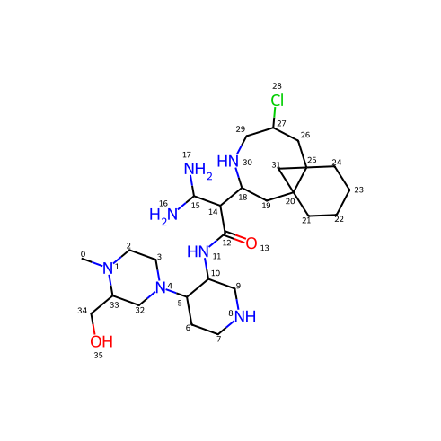 CN1CCN(C2CCNCC2NC(=O)C(C(N)N)C2CC34CCCCC3(CC(Cl)CN2)C4)CC1CO